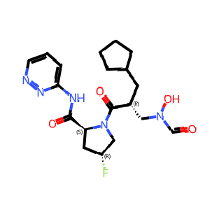 O=CN(O)C[C@@H](CC1CCCC1)C(=O)N1C[C@H](F)C[C@H]1C(=O)Nc1cccnn1